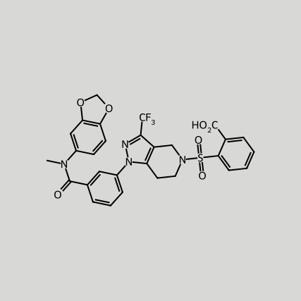 CN(C(=O)c1cccc(-n2nc(C(F)(F)F)c3c2CCN(S(=O)(=O)c2ccccc2C(=O)O)C3)c1)c1ccc2c(c1)OCO2